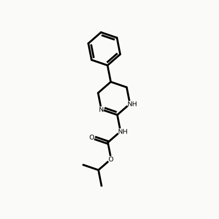 CC(C)OC(=O)NC1=NCC(c2ccccc2)CN1